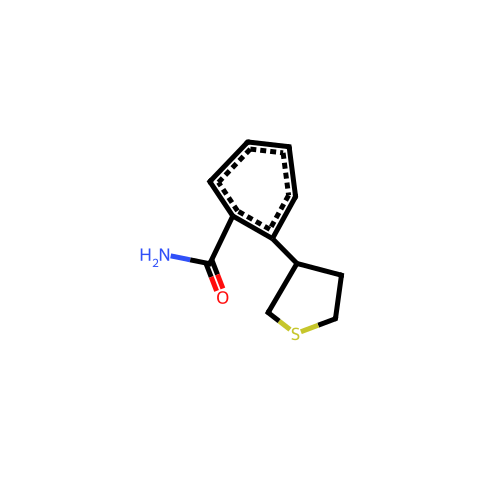 NC(=O)c1ccccc1C1CCSC1